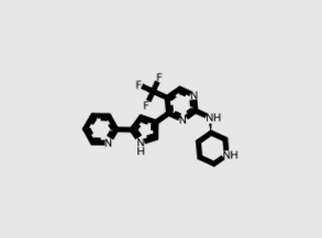 FC(F)(F)c1cnc(N[C@H]2CCCNC2)nc1-c1c[nH]c(-c2ccccn2)c1